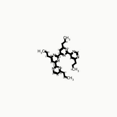 CCCc1cc(-c2nc(CCC)cc(-c3nc(CCC)cc(-c4nccc(CCC)n4)n3)n2)ncn1